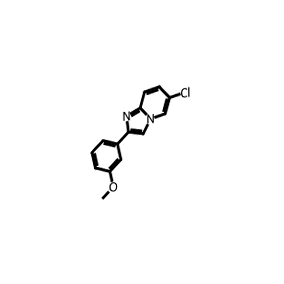 COc1cccc(-c2cn3cc(Cl)ccc3n2)c1